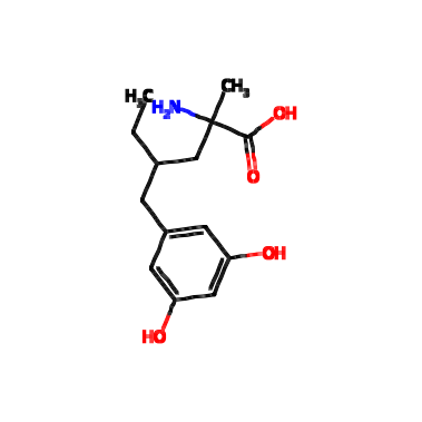 CCC(Cc1cc(O)cc(O)c1)CC(C)(N)C(=O)O